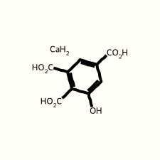 O=C(O)c1cc(O)c(C(=O)O)c(C(=O)O)c1.[CaH2]